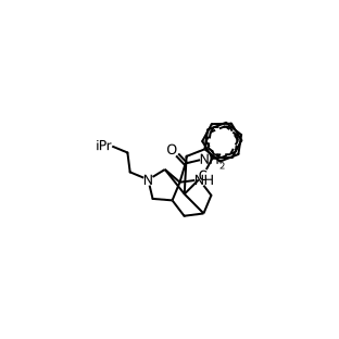 CC(C)CCN1CC2CC3CNC2(C(N)=O)C1C3(Cc1ccccc1)Cc1ccccc1